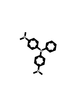 CN(C)c1ccc(N(c2ccccc2)c2ccc(N(C)C)cc2)cc1